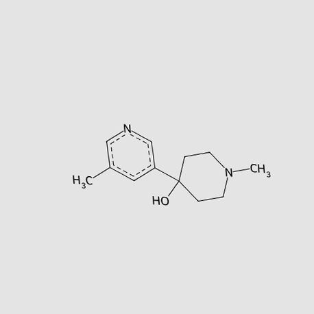 Cc1cncc(C2(O)CCN(C)CC2)c1